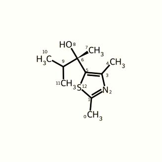 Cc1nc(C)c([C@@](C)(O)C(C)C)s1